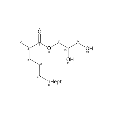 CCCCCCCCCCC(C)C(=O)OCC(O)CO